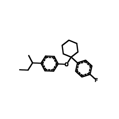 CCC(C)c1ccc(OC2(c3ccc(F)cc3)CCCCC2)cc1